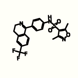 Cc1noc(C)c1S(=O)(=O)Nc1ccc(C2=NCCc3cc(C(F)(F)F)ccc32)cc1